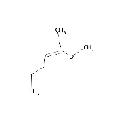 CCCC=C(C)OC